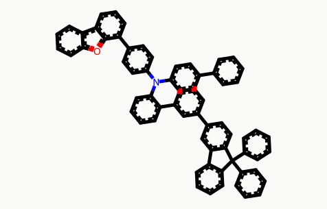 c1ccc(-c2ccc(N(c3ccc(-c4cccc5c4oc4ccccc45)cc3)c3ccccc3-c3cccc(-c4ccc5c(c4)-c4ccccc4C5(c4ccccc4)c4ccccc4)c3)cc2)cc1